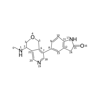 CNC1COCc2c(-c3ccc4c(c3)CC(=O)N4)cncc21